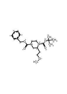 COCCC1CN(C(=O)OCc2ccccc2)CCN1C(=O)OC(C)(C)C